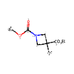 CCOC(=O)C1(C(C)=O)CN(C(=O)OC(C)(C)C)C1